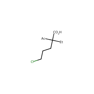 CCC(CCCCl)(C(C)=O)C(=O)O